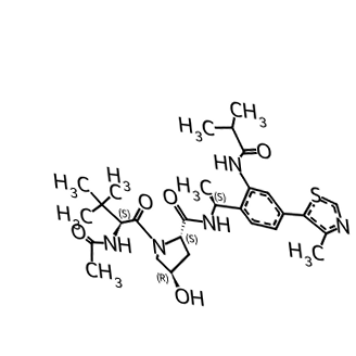 CC(=O)N[C@H](C(=O)N1C[C@H](O)C[C@H]1C(=O)N[C@@H](C)c1ccc(-c2scnc2C)cc1NC(=O)C(C)C)C(C)(C)C